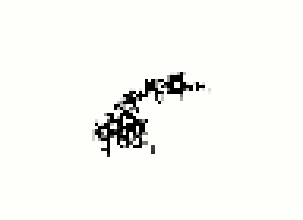 Cc1ccc(NC(=O)CCNc2cnc(-c3cc(Cl)c4[nH]ncc4c3)c(-c3ccn(C)n3)n2)cc1